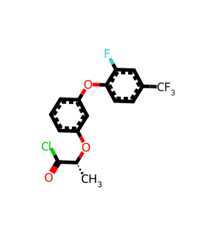 C[C@@H](Oc1cccc(Oc2ccc(C(F)(F)F)cc2F)c1)C(=O)Cl